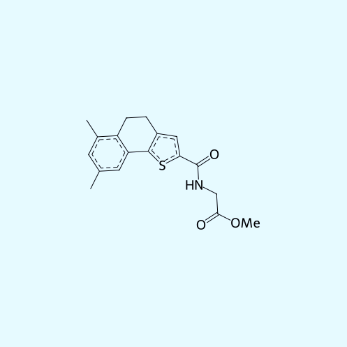 COC(=O)CNC(=O)c1cc2c(s1)-c1cc(C)cc(C)c1CC2